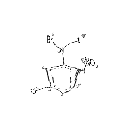 O=[N+]([O-])c1ccc(Cl)cc1N(Br)I